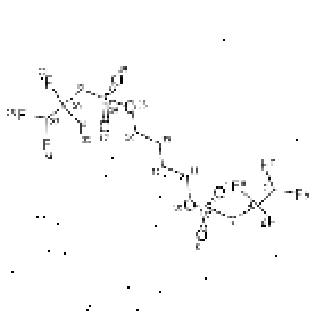 O=S(=O)(CC(F)(F)C(F)F)OCCCCOS(=O)(=O)CC(F)(F)C(F)F